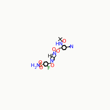 CC(C)(C)C(=O)Nc1cc(C#N)ccc1COC(=O)N1CC2=CN(C(=O)c3ccc(S(N)(=O)=O)cc3F)C[C@H]2C1